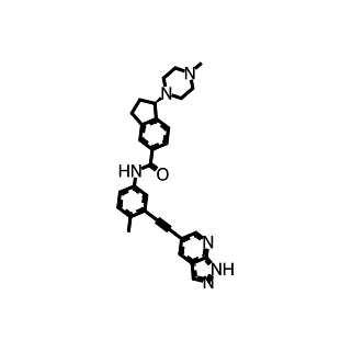 Cc1ccc(NC(=O)c2ccc3c(c2)CC[C@H]3N2CCN(C)CC2)cc1C#Cc1cnc2[nH]ncc2c1